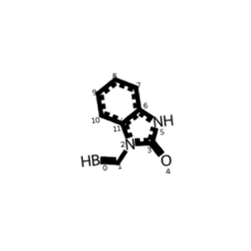 B=Cn1c(=O)[nH]c2ccccc21